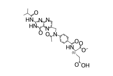 COC(=O)[C@H](CCC(=O)O)NC(=O)c1ccc(N(Cc2cnc3nc(NC(=O)C(C)C)[nH]c(=O)c3n2)C(C)=O)cc1